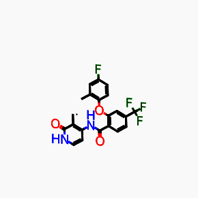 [CH2]c1c(NC(=O)c2ccc(C(F)(F)F)cc2Oc2ccc(F)cc2C)cc[nH]c1=O